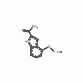 CCCCCOc1cccc2[nH]c(C(N)=O)cc12